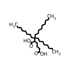 CCCCCCCCCC(CCCCCCCC)(CCCCCCCC)C(CCCC(=O)O)C(=O)O